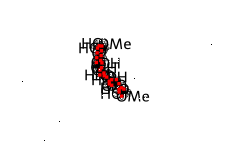 CO[C@@H]1[C@@H](O)[C@@H](O)[C@H](Oc2ccc3c(O)c(NC(=O)c4c[nH]c(C(=O)Nc5c(O)c6ccc(O[C@@H]7OC(C)(C)[C@H](OC)[C@@H](O)[C@H]7O)cc6oc5=O)c4C)c(=O)oc3c2)OC1(C)C